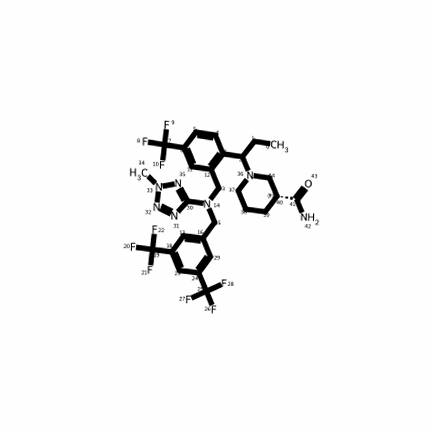 CCC(c1ccc(C(F)(F)F)cc1CN(Cc1cc(C(F)(F)F)cc(C(F)(F)F)c1)c1nnn(C)n1)N1CCC[C@@H](C(N)=O)C1